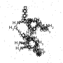 CCCCCCCc1ccc(C(=O)N[C@@H](CCNOc2ccc3cc2-c2cc(ccc2O)[C@H](N(C)C(=O)[C@H](CCCCN)NC(=O)c2ccc(-c4ccc(Cl)cc4)cc2)C(=O)N[C@@H](C)C(=O)N[C@H](C(=O)N[C@@H](CF)C(=O)N(C)CC(N)=O)C3)C(=O)N(C)[C@@H]2C(=O)N[C@@H](C)C(=O)N[C@H](C(=O)N[C@@H](C)C(=O)c3nnn[nH]3)Cc3ccc(OCCN)c(c3)-c3cc2ccc3OCCN)c(C)c1